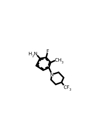 Cc1c(N2CCC(C(F)(F)F)CC2)ccc(N)c1F